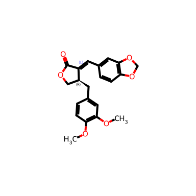 COc1ccc(C[C@H]2COC(=O)/C2=C/c2ccc3c(c2)OCO3)cc1OC